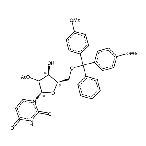 COc1ccc(C(OC[C@H]2O[C@@H](n3ccc(=O)[nH]c3=O)C(OC(C)=O)[C@H]2O)(c2ccccc2)c2ccc(OC)cc2)cc1